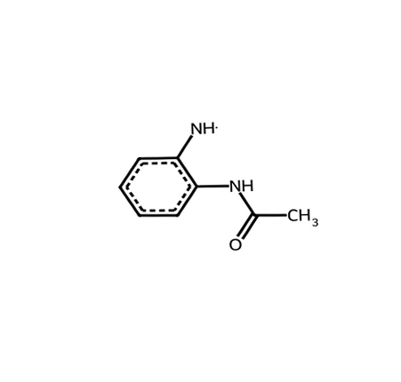 CC(=O)Nc1ccccc1[NH]